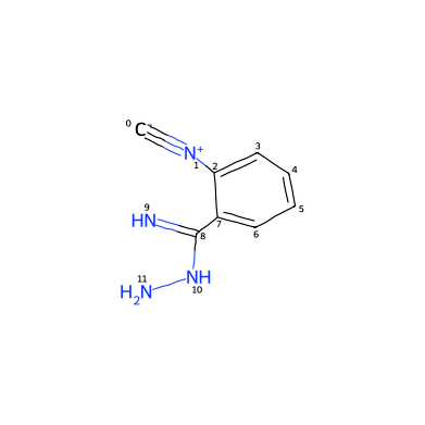 [C-]#[N+]c1ccccc1C(=N)NN